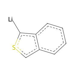 [Li][c]1scc2ccccc12